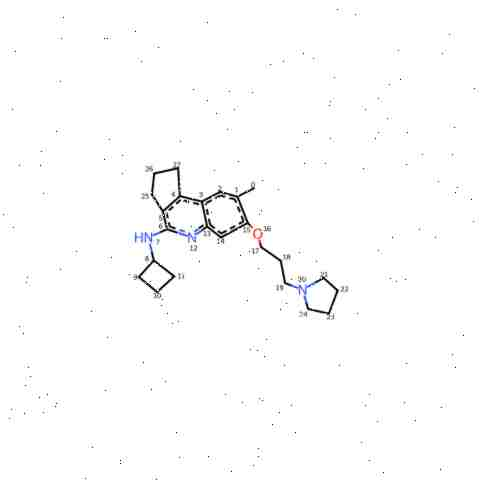 Cc1cc2c3c(c(NC4CCC4)nc2cc1OCCCN1CCCC1)CCC3